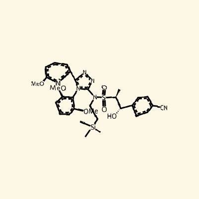 COc1cccc(-c2nnc(N(CC[Si](C)(C)C)S(=O)(=O)[C@@H](C)[C@@H](O)c3ccc(C#N)cc3)n2-c2c(OC)cccc2OC)n1